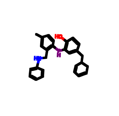 Cc1ccc(Pc2cc(CC3C=CC=CC3)ccc2O)c(CNc2ccccc2)c1